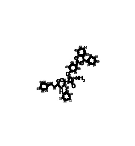 NN1C(=O)[C@H](C(=O)[C@H](Cc2ccccc2)NC(=O)CCc2ccccc2)[C@@H]1Oc1ccc(C(=O)OC(c2ccccc2)c2ccccc2)cc1